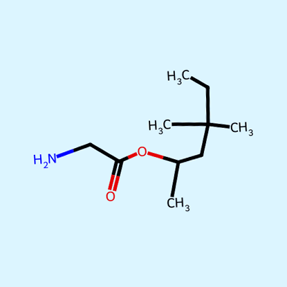 CCC(C)(C)CC(C)OC(=O)CN